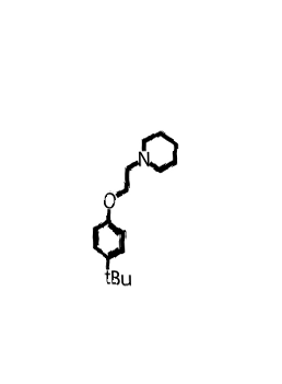 CC(C)(C)c1ccc(OCCN2CCCCC2)cc1